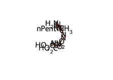 CCCCCNc1nc(N)nc2ccn(Cc3ccc(CN4CCN(CCOCCNC(=O)[C@H](CC(=O)O)SC[C@H](N)C(=O)O)CC4)cc3C)c12